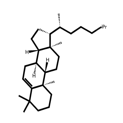 CC(C)CCC[C@@H](C)[C@H]1CC[C@H]2[C@@H]3CC=C4C(C)(C)CCC[C@]4(C)[C@H]3CC[C@]12C